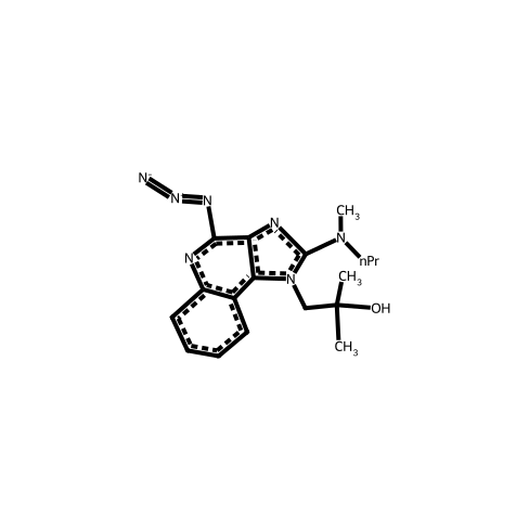 CCCN(C)c1nc2c(N=[N+]=[N-])nc3ccccc3c2n1CC(C)(C)O